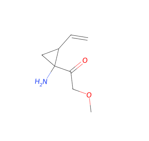 C=CC1CC1(N)C(=O)COC